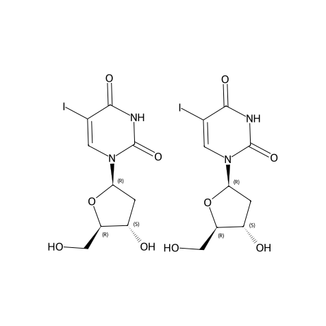 O=c1[nH]c(=O)n([C@H]2C[C@H](O)[C@@H](CO)O2)cc1I.O=c1[nH]c(=O)n([C@H]2C[C@H](O)[C@@H](CO)O2)cc1I